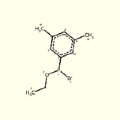 CCOP(Br)c1cc(C)cc(C)c1